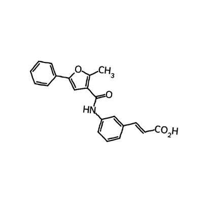 Cc1oc(-c2ccccc2)cc1C(=O)Nc1cccc(C=CC(=O)O)c1